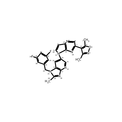 Cc1noc(C)c1-c1cnc2ccn(-c3cnc4nc(C)n(Cc5cc(F)cc(F)c5)c4c3)c2n1